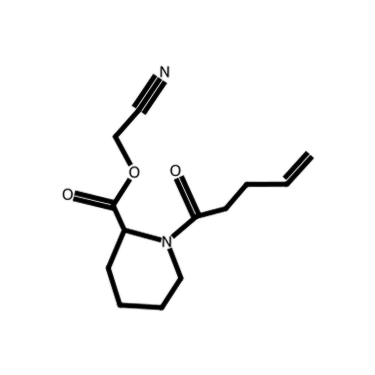 C=CCCC(=O)N1CCCCC1C(=O)OCC#N